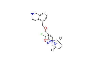 O=C(CCOCc1cccc2cnccc12)N1C[C@H]2CC[C@@H](C1)N2c1ccc(F)cn1